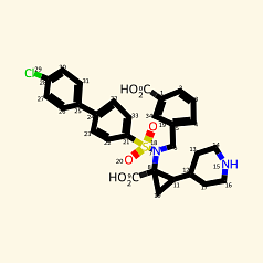 O=C(O)c1cccc(CN(C2(C(=O)O)CC2C2CCNCC2)S(=O)(=O)c2ccc(-c3ccc(Cl)cc3)cc2)c1